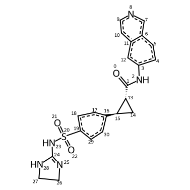 O=C(Nc1ccc2cnccc2c1)[C@@H]1C[C@H]1c1ccc(S(=O)(=O)NC2=NCCN2)cc1